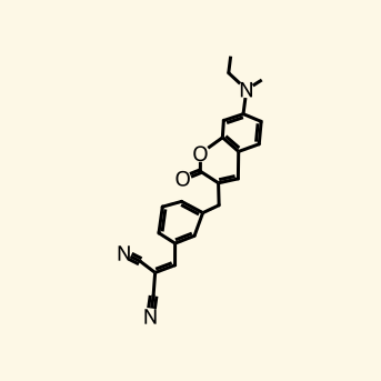 CCN(C)c1ccc2cc(Cc3cccc(C=C(C#N)C#N)c3)c(=O)oc2c1